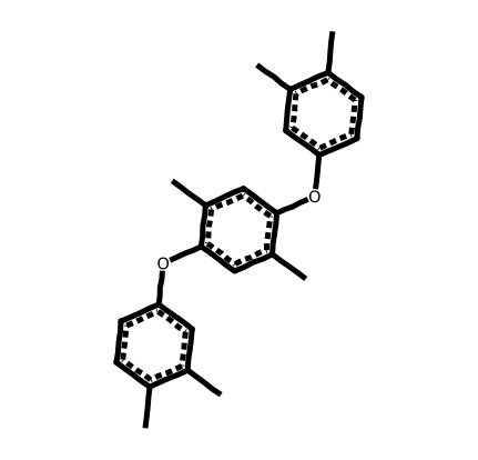 Cc1ccc(Oc2cc(C)c(Oc3ccc(C)c(C)c3)cc2C)cc1C